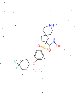 O=C(NO)C1(S(=O)(=O)c2ccc(OC3CCC(F)(F)CC3)cc2)CCC2(CCNCC2)C1